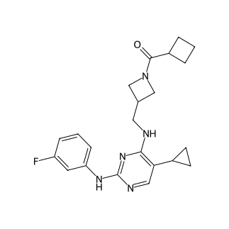 O=C(C1CCC1)N1CC(CNc2nc(Nc3cccc(F)c3)ncc2C2CC2)C1